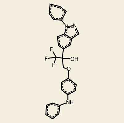 OC(COc1ccc(Nc2ccccc2)cc1)(c1ccc2c(cnn2-c2ccccc2)c1)C(F)(F)F